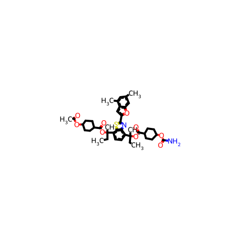 CCC(C)(OC(=O)C1CCC(OC(N)=O)CC1)c1ccc(C(C)(CC)OC(=O)C2CCC(OC(C)=O)CC2)c2sc(-c3cc4c(C)cc(C)cc4o3)nc12